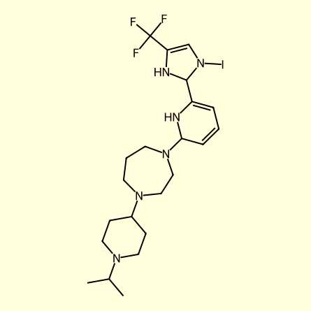 CC(C)N1CCC(N2CCCN(C3C=CC=C(C4NC(C(F)(F)F)=CN4I)N3)CC2)CC1